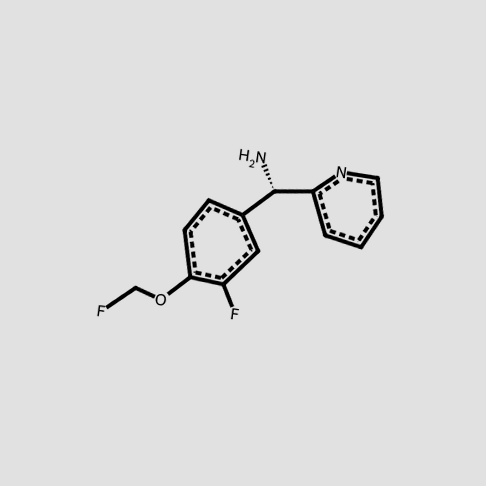 N[C@@H](c1ccc(OCF)c(F)c1)c1ccccn1